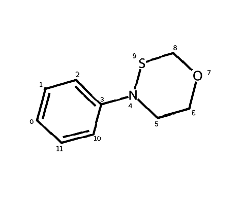 c1ccc(N2CCOCS2)cc1